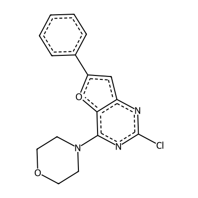 Clc1nc(N2CCOCC2)c2oc(-c3ccccc3)cc2n1